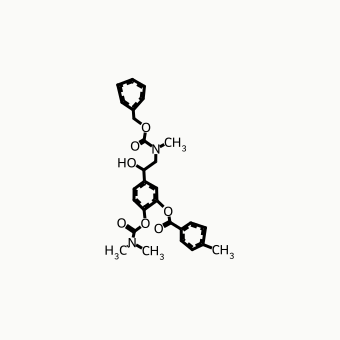 Cc1ccc(C(=O)Oc2cc(C(O)CN(C)C(=O)OCc3ccccc3)ccc2OC(=O)N(C)C)cc1